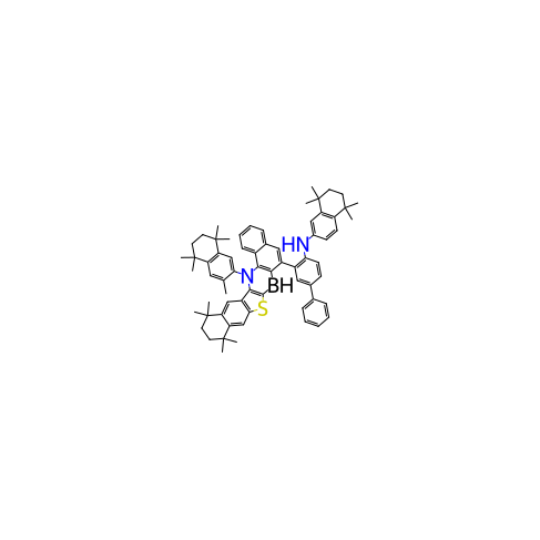 Cc1cc2c(cc1N1c3c(c(-c4cc(-c5ccccc5)ccc4Nc4ccc5c(c4)C(C)(C)CCC5(C)C)cc4ccccc34)Bc3sc4cc5c(cc4c31)C(C)(C)CCC5(C)C)C(C)(C)CCC2(C)C